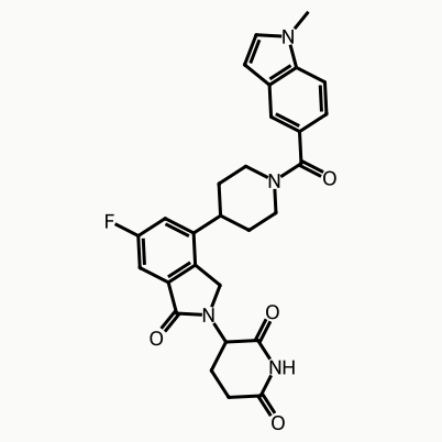 Cn1ccc2cc(C(=O)N3CCC(c4cc(F)cc5c4CN(C4CCC(=O)NC4=O)C5=O)CC3)ccc21